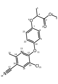 COC(=O)C(C)Oc1ccc(Oc2nc(C)c(C#N)cc2Cl)cc1